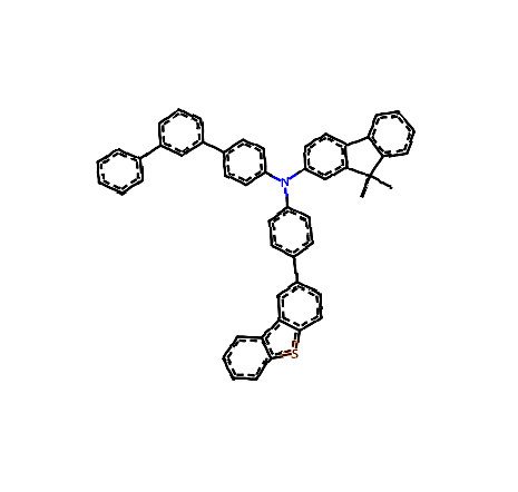 CC1(C)c2ccccc2-c2ccc(N(c3ccc(-c4cccc(-c5ccccc5)c4)cc3)c3ccc(-c4ccc5sc6ccccc6c5c4)cc3)cc21